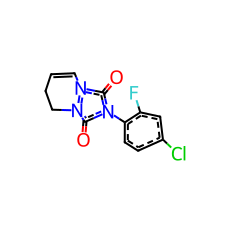 O=c1n(-c2ccc(Cl)cc2F)c(=O)n2n1C=CCC2